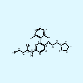 Cc1ncnc(C)c1-c1cc(NC(=O)CCF)ccc1OCCN1CCCC1